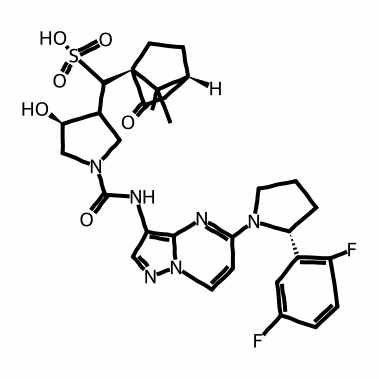 CC1(C)[C@@H]2CC[C@@]1(C(C1CN(C(=O)Nc3cnn4ccc(N5CCC[C@@H]5c5cc(F)ccc5F)nc34)C[C@H]1O)S(=O)(=O)O)C(=O)C2